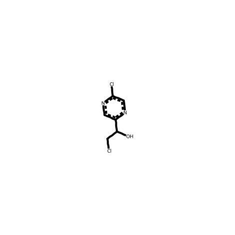 OC(CCl)c1cnc(Cl)cn1